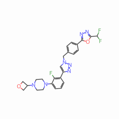 Fc1c(-c2cn(Cc3ccc(-c4nnc(C(F)F)o4)cc3)nn2)cccc1N1CCN(C2COC2)CC1